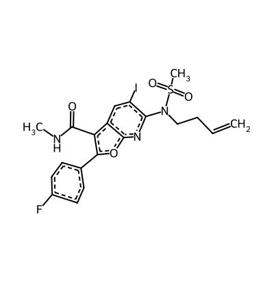 C=CCCN(c1nc2oc(-c3ccc(F)cc3)c(C(=O)NC)c2cc1I)S(C)(=O)=O